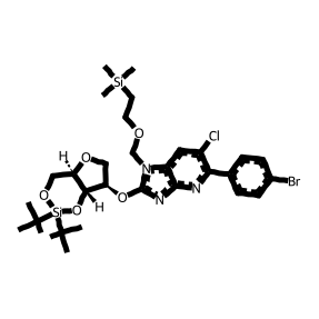 CC(C)(C)[Si]1(C(C)(C)C)OC[C@H]2OC[C@@H](Oc3nc4nc(-c5ccc(Br)cc5)c(Cl)cc4n3COCC[Si](C)(C)C)[C@@H]2O1